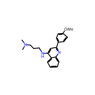 COc1ccc(-c2cc(N[CH]CCN(C)C)c3ccccc3n2)cc1